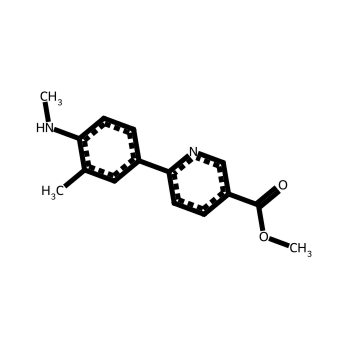 CNc1ccc(-c2ccc(C(=O)OC)cn2)cc1C